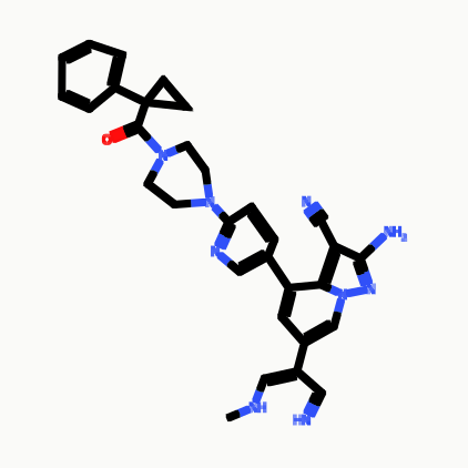 CN/C=C(\C=N)c1cc(-c2ccc(N3CCN(C(=O)C4(c5ccccc5)CC4)CC3)nc2)c2c(C#N)c(N)nn2c1